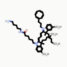 CC1(CCCCS(=O)(=O)O)C(/C=C/C=C2/N(CCCCCC(=O)NCCCCCN)c3ccc(S(=O)(=O)O)cc3C2(C)CCCCS(=O)(=O)O)=[N+](CCCC2=C/C=C\C=C/C=C\2)c2ccc(S(=O)(=O)O)cc21